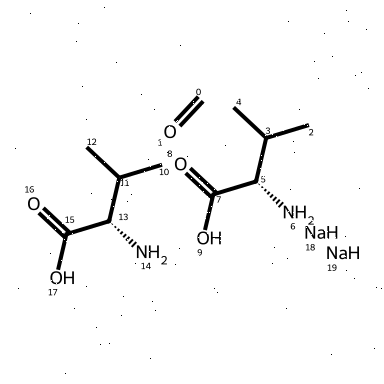 C=O.CC(C)[C@H](N)C(=O)O.CC(C)[C@H](N)C(=O)O.[NaH].[NaH]